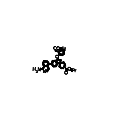 CCOC(=O)Cc1c(C)cccc1OC1CC2(CCN(C(=O)OC(C)C)CC2)c2ccc(-c3cccc4c(N)nccc34)cc21